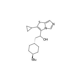 CC(C)(C)[C@H]1CC[C@H](CC(O)c2c(C3CC3)sc3cncn23)CC1